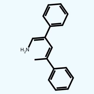 C/C(=C\C(=C/N)c1ccccc1)c1ccccc1